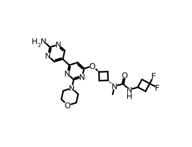 CN(C(=O)NC1CC(F)(F)C1)[C@H]1C[C@H](Oc2cc(-c3cnc(N)nc3)nc(N3CCOCC3)n2)C1